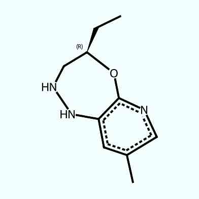 CC[C@@H]1CNNc2cc(C)cnc2O1